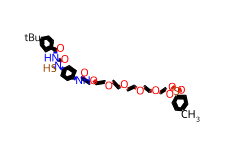 Cc1ccc(S(=O)(=O)OCCOCCOCCOCCOCCOCC(=O)Nc2ccc(N(S)C(=O)NC(=O)c3ccc(C(C)(C)C)cc3)cc2)cc1